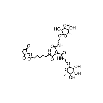 C[C@@H]1O[C@@H](OCCNC(=O)C2C(C(=O)NCCCCCC(=O)ON3C(=O)CCC3=O)C2C(=O)NCCO[C@@H]2O[C@@H](C)[C@@H](O)[C@@H](O)[C@@H]2O)[C@@H](O)[C@H](O)[C@@H]1O